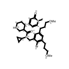 COCCCc1cc(CCCOC)c(Br)c(CN(C(=O)C2CNCC[C@@H]2c2ccn(C)c(=O)c2)C2CC2)c1